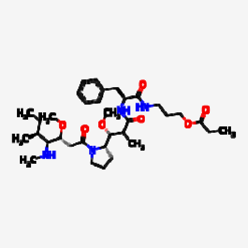 CCC(=O)OCCCNC(=O)[C@H](Cc1ccccc1)NC(=O)C(C)[C@@H](OC)[C@@H]1CCCN1C(=O)C[C@@H](OC)[C@@H](NC)[C@@H](C)CC